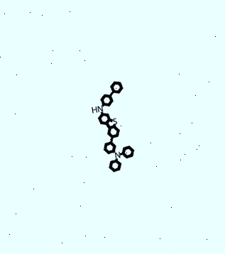 c1ccc(-c2ccc(Nc3ccc4c(c3)sc3ccc(-c5cccc(N(c6ccccc6)c6ccccc6)c5)cc34)cc2)cc1